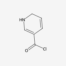 O=C(Cl)C1=CNCC=C1